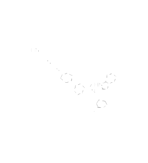 O=C1c2cc(-c3ccc(N4CCN(C5CCNCC5)CC4)cc3)ccc2CN1[C@@H](c1cc2ccccc2[nH]1)c1cc(Cl)ccc1O